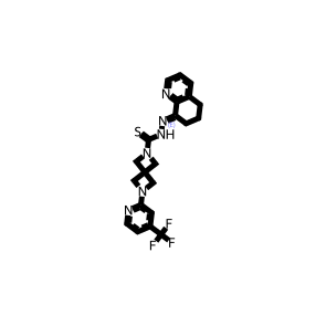 FC(F)(F)c1ccnc(N2CC3(CN(C(=S)N/N=C4\CCCc5cccnc54)C3)C2)c1